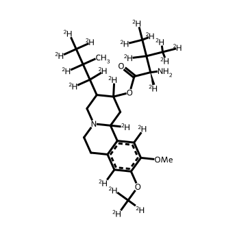 [2H]c1c2c(c([2H])c(OC)c1OC([2H])([2H])[2H])C1([2H])CC([2H])(OC(=O)[C@@]([2H])(N)C([2H])(C([2H])([2H])[2H])C([2H])([2H])[2H])C(C([2H])([2H])C([2H])(C)C([2H])([2H])[2H])CN1CC2